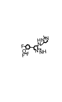 Cc1nccc(CNc2cc(-c3ccc(F)c(OC(F)F)c3)cnc2C=N)n1